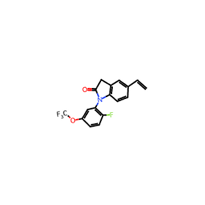 C=Cc1ccc2c(c1)CC(=O)N2c1cc(OC(F)(F)F)ccc1F